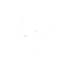 CCOc1cc(NC(=O)c2ccccc2OCC)ccc1N.[Cl-].[Cl-].[Zn+2]